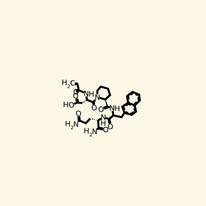 C=CC(=O)N[C@@H](CC(=O)O)C(=O)N1CCCC[C@H]1C(=O)NC(Cc1ccc2ccccc2c1)C(=O)N[C@@H](CCC(N)=O)C(N)=O